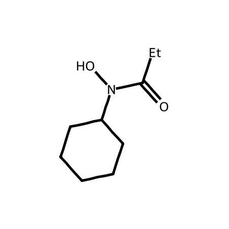 CCC(=O)N(O)C1CCCCC1